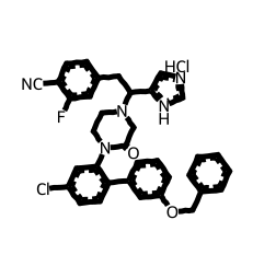 Cl.N#Cc1ccc(CC(c2cnc[nH]2)N2CCN(c3cc(Cl)ccc3-c3cccc(OCc4ccccc4)c3)C(=O)C2)cc1F